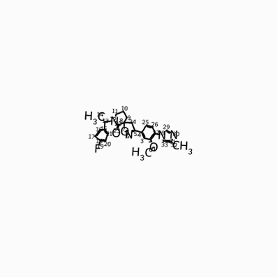 COc1cc(C2=NOC3(CCCN(C(C)c4ccc(F)cc4)C3=O)C2)ccc1-n1cnc(C)c1